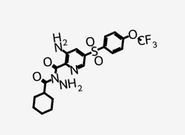 Nc1cc(S(=O)(=O)c2ccc(OC(F)(F)F)cc2)cnc1C(=O)N(N)C(=O)C1CCCCC1